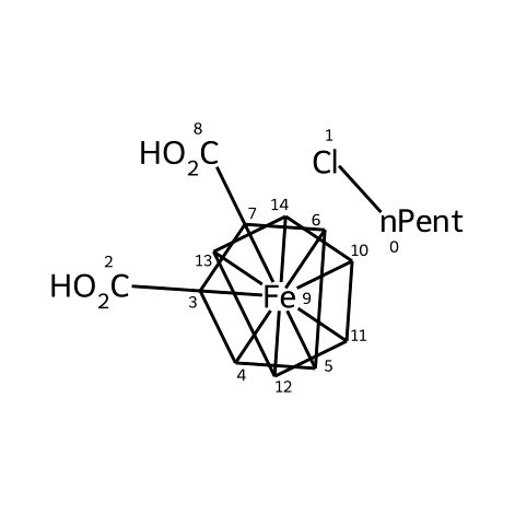 CCCCCCl.O=C(O)[C]12[CH]3[CH]4[CH]5[C]1(C(=O)O)[Fe]43521678[CH]2[CH]1[CH]6[CH]7[CH]28